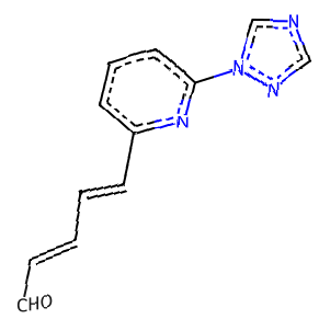 O=CC=CC=Cc1cccc(-n2cncn2)n1